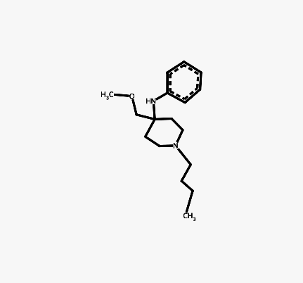 CCCCN1CCC(COC)(Nc2ccccc2)CC1